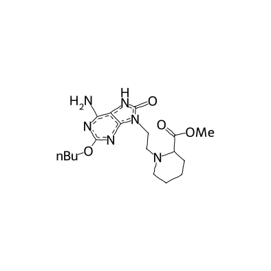 CCCCOc1nc(N)c2[nH]c(=O)n(CCN3CCCCC3C(=O)OC)c2n1